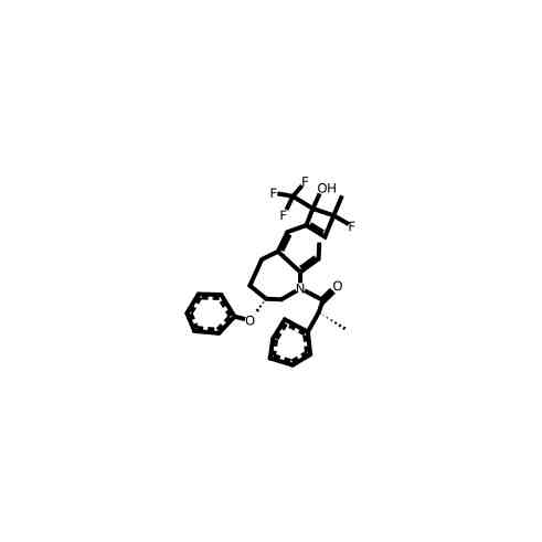 C/C=C1\C(=C/C2=CC(C)(F)C2(O)C(F)(F)F)CC[C@@H](Oc2ccccc2)CN1C(=O)[C@H](C)c1ccccc1